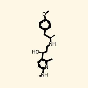 CNc1ccc([C@@H](O)CCN[C@H](C)Cc2ccc(OC)cc2)c(C)n1